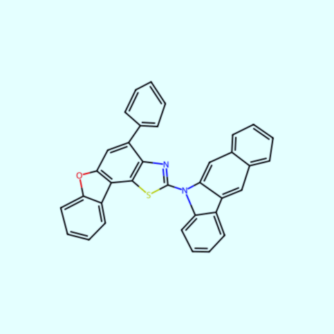 c1ccc(-c2cc3oc4ccccc4c3c3sc(-n4c5ccccc5c5cc6ccccc6cc54)nc23)cc1